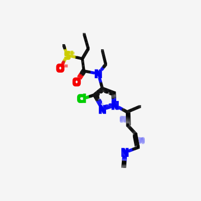 C=N/C=C\C=C(/C)n1cc(N(CC)C(=O)C(CC)[S+](C)[O-])c(Cl)n1